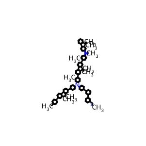 C/C=C/c1cccc(-c2cccc(-c3ccc(N(c4ccc(-c5ccc6c(c5)C(C)(C)c5cc(-c7ccc(C)cc7)ccc5-6)cc4)c4ccc(-c5ccc6c(c5)C(C)(C)c5cc(-c7ccc(N(C)c8ccc9c(c8)C(C)(C)c8ccccc8-9)cc7C)ccc5-6)c(C)c4)cc3)c2)c1